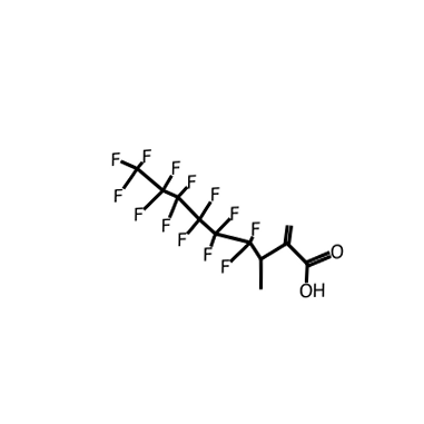 C=C(C(=O)O)C(C)C(F)(F)C(F)(F)C(F)(F)C(F)(F)C(F)(F)C(F)(F)F